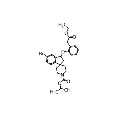 CCOC(=O)Cc1ccccc1OC1CC2(CCN(C(=O)OC(C)C)CC2)c2ccc(Br)cc21